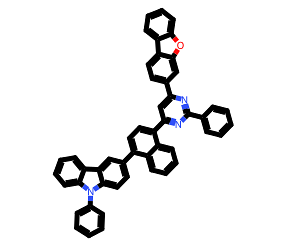 c1ccc(-c2nc(-c3ccc4c(c3)oc3ccccc34)cc(-c3ccc(-c4ccc5c(c4)c4ccccc4n5-c4ccccc4)c4ccccc34)n2)cc1